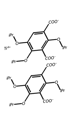 CC(C)Oc1cc(C(=O)[O-])c(OC(C)C)c(C(=O)[O-])c1OC(C)C.CC(C)Oc1cc(C(=O)[O-])c(OC(C)C)c(C(=O)[O-])c1OC(C)C.[Ti+4]